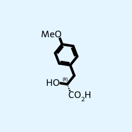 COc1ccc(C[C@@H](O)C(=O)O)cc1